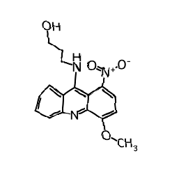 COc1ccc([N+](=O)[O-])c2c(NCCCO)c3ccccc3nc12